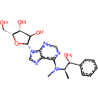 C[C@H]([C@@H](O)c1ccccc1)N(C)c1ncnc2c1ncn2[C@@H]1O[C@H](CO)[C@H](O)C1O